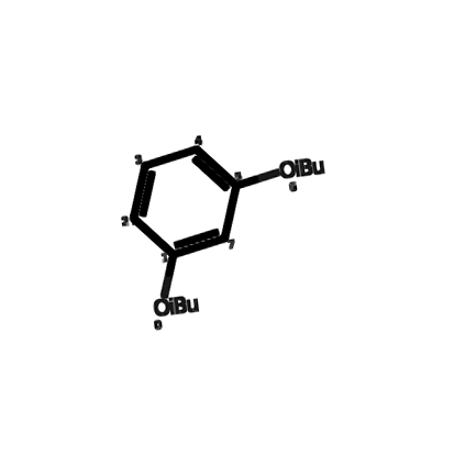 CC(C)COc1[c]ccc(OCC(C)C)c1